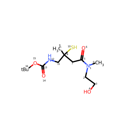 CN(CCO)C(=O)CC(C)(S)CNC(=O)OC(C)(C)C